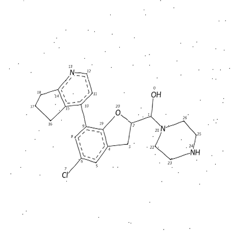 OC(C1Cc2cc(Cl)cc(-c3ccnc4c3CCC4)c2O1)N1CCNCC1